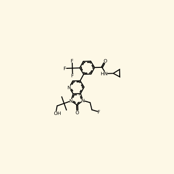 CC(C)(CO)n1c(=O)n(CCF)c2cc(-c3cc(C(=O)NC4CC4)ccc3C(F)(F)F)cnc21